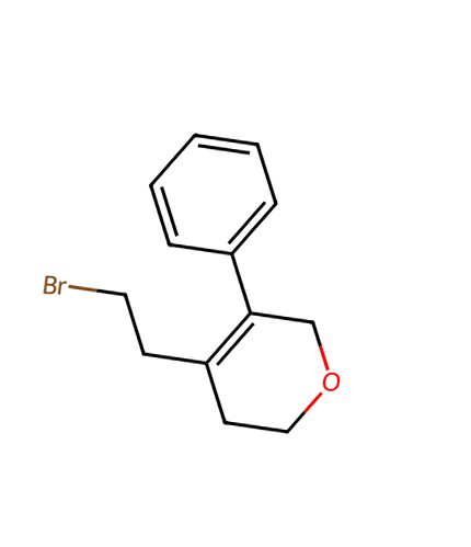 BrCCC1=C(c2ccccc2)COCC1